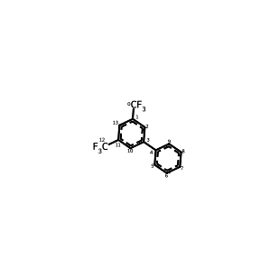 FC(F)(F)c1cc(-c2c[c]ccc2)cc(C(F)(F)F)c1